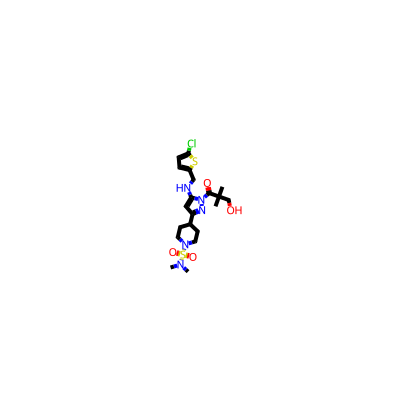 CN(C)S(=O)(=O)N1CCC(c2cc(NCc3ccc(Cl)s3)n(C(=O)C(C)(C)CO)n2)CC1